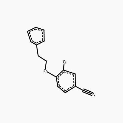 N#Cc1ccc(OCCc2ccccc2)c(Cl)c1